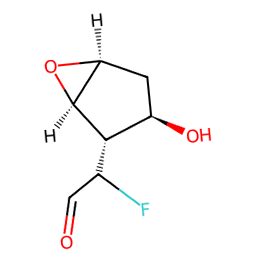 O=CC(F)[C@@H]1[C@H]2O[C@H]2C[C@H]1O